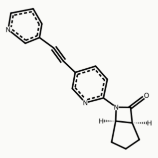 O=C1[C@H]2CCC[C@H]2N1c1ccc(C#Cc2cccnc2)cn1